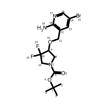 CC(C)(C)OC(=O)N1CC(OCc2cc(Br)cnc2N)C(F)(F)C1